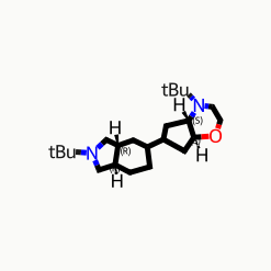 CC(C)(C)N1C[C@@H]2CCC(C3C[C@@H]4OCCN(C(C)(C)C)[C@H]4C3)C[C@H]2C1